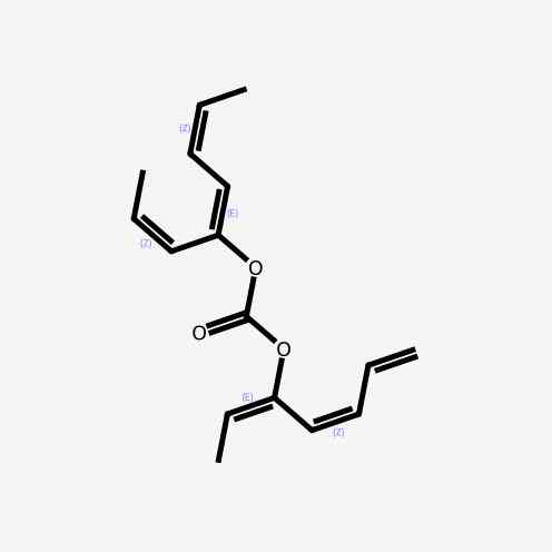 C=C/C=C\C(=C/C)OC(=O)OC(/C=C\C)=C/C=C\C